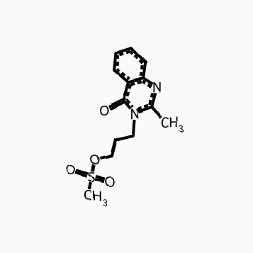 Cc1nc2ccccc2c(=O)n1CCCOS(C)(=O)=O